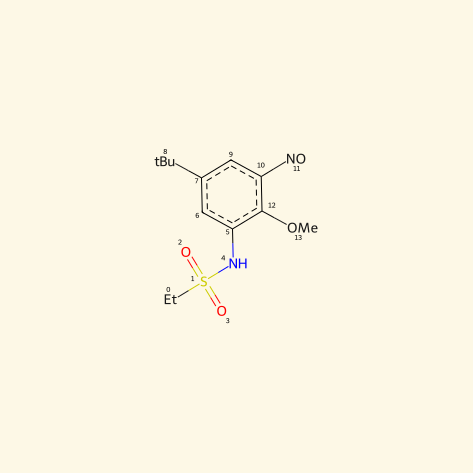 CCS(=O)(=O)Nc1cc(C(C)(C)C)cc(N=O)c1OC